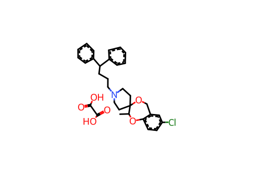 CC1Oc2ccc(Cl)cc2COC12CCN(CCCC(c1ccccc1)c1ccccc1)CC2.O=C(O)C(=O)O